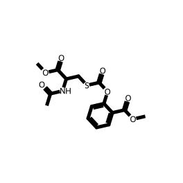 COC(=O)c1ccccc1OC(=O)SCC(NC(C)=O)C(=O)OC